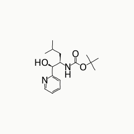 CC(C)C[C@@H](NC(=O)OC(C)(C)C)[C@H](O)c1ccccn1